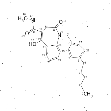 CCCCCc1ccc(CN2C(=O)CC(C(=O)NC)=C(O)c3ccccc32)cc1